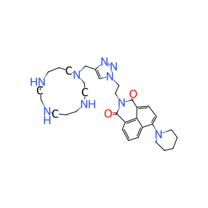 O=C1c2cccc3c(N4CCCCC4)ccc(c23)C(=O)N1CCn1cc(CN2CCCNCCNCCCNCC2)nn1